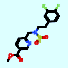 COC(=O)c1ccc(CN(CCc2ccc(F)c(F)c2)[SH](=O)=O)nc1